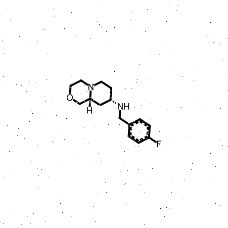 Fc1ccc(CN[C@H]2CCN3CCOC[C@H]3C2)cc1